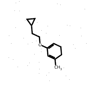 CC1=CC(OCCC2CC2)=CCC1